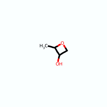 CC1OCC1O